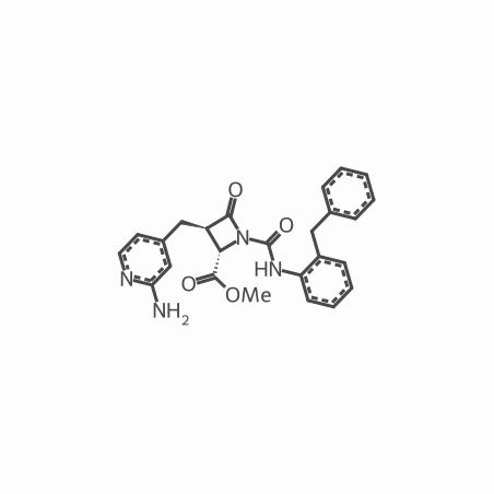 COC(=O)[C@@H]1[C@@H](Cc2ccnc(N)c2)C(=O)N1C(=O)Nc1ccccc1Cc1ccccc1